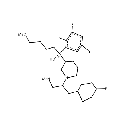 CNCC(CC1CCC(F)CC1)N1CCCC([C@@](O)(CCCCOC)c2cc(F)cc(F)c2F)C1